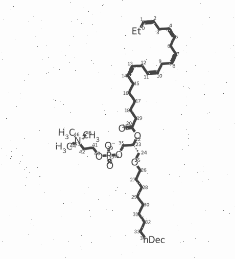 CC/C=C\C/C=C\C/C=C\C/C=C\C/C=C\CCCCCC(=O)O[C@H](COCCCCCCCCCCCCCCCCCC)COP(=O)([O-])OCC[N+](C)(C)C